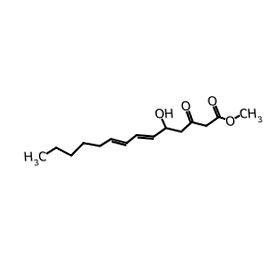 CCCCCC=CC=CC(O)CC(=O)CC(=O)OC